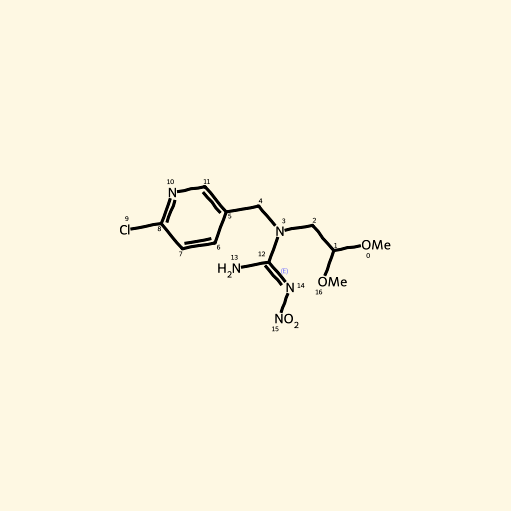 COC(CN(Cc1ccc(Cl)nc1)/C(N)=N/[N+](=O)[O-])OC